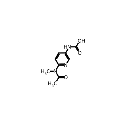 CC(=O)N(C)c1ccc(NC(=O)O)cn1